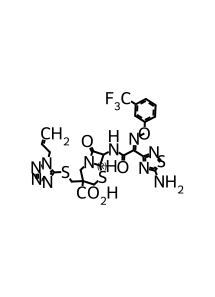 C=CCn1nnnc1SCC1(C(=O)O)CS[C@@H]2C(NC(=O)C(=NOc3cccc(C(F)(F)F)c3)c3nsc(N)n3)C(=O)N2C1